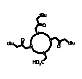 CC(C)(C)CC(=O)CN1CCN(CC(=O)O)CCN(CC(=O)CC(C)(C)C)CCN(CC(=O)CC(C)(C)C)CC1